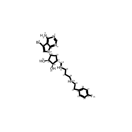 Nc1ncnc2c1c(Br)cn2[C@@H]1C[C@H](CNCCCNCCc2ccc(F)cc2)[C@@H](O)[C@H]1O